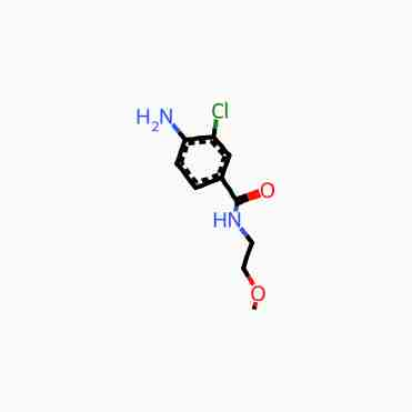 COCCNC(=O)c1ccc(N)c(Cl)c1